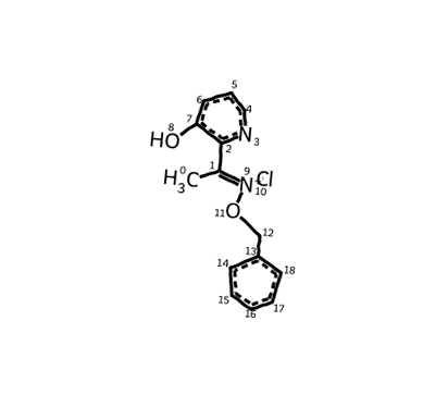 CC(c1ncccc1O)=[N+](Cl)OCc1ccccc1